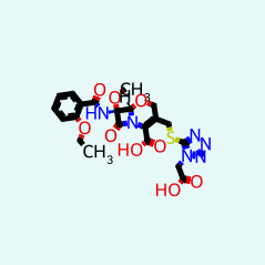 CCOc1ccccc1C(=O)N[C@]1(OC)C(=O)N2C(C(=O)O)=C(CSc3nnnn3CC(=O)O)CO[C@@H]21